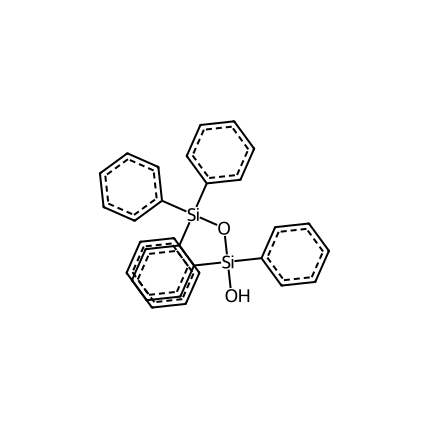 O[Si](O[Si](c1ccccc1)(c1ccccc1)c1ccccc1)(c1ccccc1)c1ccccc1